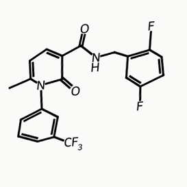 Cc1ccc(C(=O)NCc2cc(F)ccc2F)c(=O)n1-c1cccc(C(F)(F)F)c1